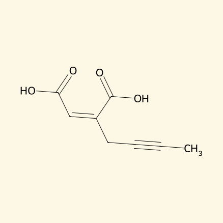 CC#CC/C(=C/C(=O)O)C(=O)O